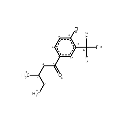 CCC(C)CC(=O)c1ccc(Cl)c(C(F)(F)F)c1